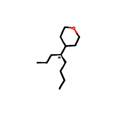 CCCC[C@@H](CCC)C1CCOCC1